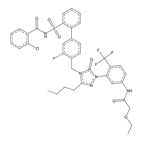 CCCCc1nn(-c2cc(NC(=O)COCC)ccc2C(F)(F)F)c(=O)n1Cc1ccc(-c2ccccc2S(=O)(=O)NC(=O)c2ccccc2Cl)cc1F